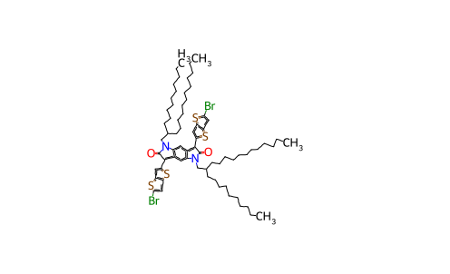 CCCCCCCCCCCCC(CCCCCCCCCC)CN1C(=O)C(c2cc3sc(Br)cc3s2)=c2cc3c(cc21)=C(c1cc2sc(Br)cc2s1)C(=O)N3CC(CCCCCCCCCC)CCCCCCCCCCCC